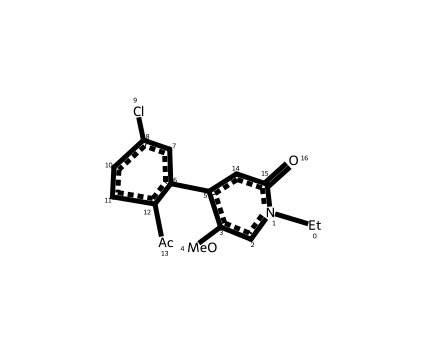 CCn1cc(OC)c(-c2cc(Cl)ccc2C(C)=O)cc1=O